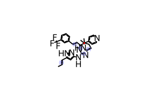 C/C=C/c1cc(NC2=N/C(NC(C)c3ccncc3)=C/CC(C)C(/C=C/c3cccc(C(F)(F)F)c3)=N\2)n[nH]1